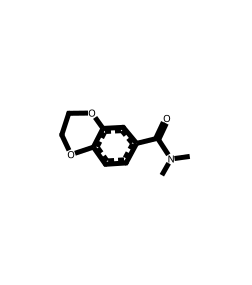 CN(C)C(=O)c1ccc2c(c1)OCCO2